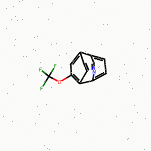 FC(F)(F)Oc1[c]c2ccc1-c1ccc-2cn1